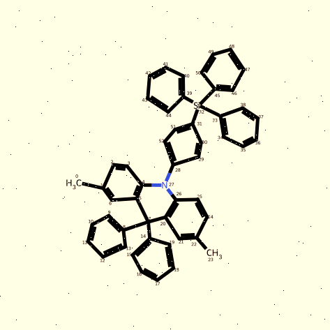 Cc1ccc2c(c1)C(c1ccccc1)(c1ccccc1)c1cc(C)ccc1N2c1ccc([Si](c2ccccc2)(c2ccccc2)c2ccccc2)cc1